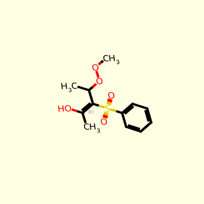 COOC(C)/C(=C(/C)O)S(=O)(=O)c1ccccc1